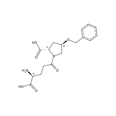 N[C@@H](CCC(=O)N1C[C@H](OCc2ccccc2)C[C@H]1C(=O)O)C(=O)O